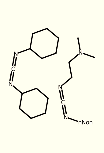 C(=NC1CCCCC1)=NC1CCCCC1.CCCCCCCCCN=C=NCCN(C)C